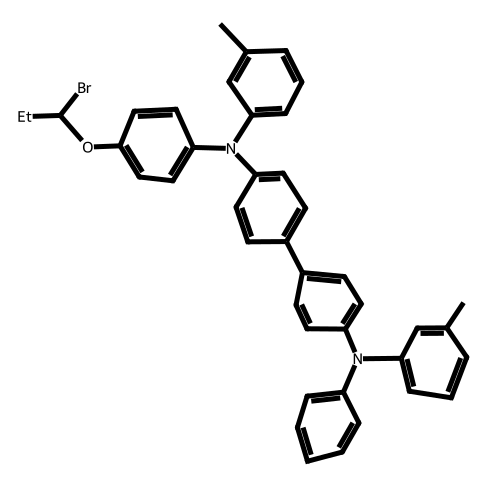 CCC(Br)Oc1ccc(N(c2ccc(-c3ccc(N(c4ccccc4)c4cccc(C)c4)cc3)cc2)c2cccc(C)c2)cc1